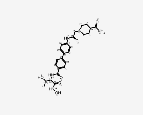 C[C@@H](O)[C@H](NC(=O)c1ccc(-c2ccc(NC(=O)CN3CCC(C(N)=O)CC3)cc2)cc1)C(=O)NO